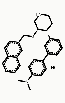 CN(C)c1ccc(-c2cccc([C@H]3CCNC[C@@H]3OCc3ccc4ccccc4c3)c2)cc1.Cl